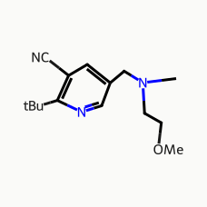 COCCN(C)Cc1cnc(C(C)(C)C)c(C#N)c1